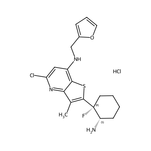 Cc1c([C@@]2(F)CCCC[C@@H]2N)sc2c(NCc3ccco3)cc(Cl)nc12.Cl